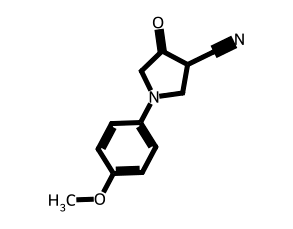 COc1ccc(N2CC(=O)C(C#N)C2)cc1